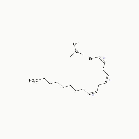 CC/C=C\C/C=C\C/C=C\CCCCCCCC(=O)O.C[S+](C)[O-]